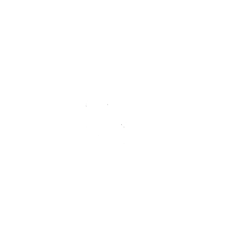 C=C/C=C\N=C(/C=C)CC#N